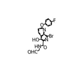 O=CCNC(=O)c1nc(Br)c2nc(Oc3ccc(F)cc3)ccc2c1O